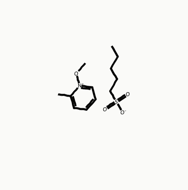 CCCCCS(=O)(=O)[O-].CO[n+]1ccccc1C